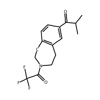 CC(C)C(=O)c1ccc2c(c1)CCN(C(=O)C(F)(F)F)CC2